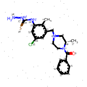 Cc1c(CN2CCN(C(=O)c3ccccc3)[C@@H](C)C2)cc(Cl)cc1NC(=S)NN